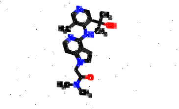 Cc1cncc(C(C)(C)O)c1Nc1nccc2c1ccn2CC(=O)N(C)C